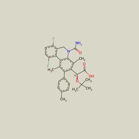 Cc1ccc(-c2c(C)c3c(c(C)c2[C@H](OC(C)(C)C)C(=O)O)N(C(N)=O)Cc2c(F)ccc(F)c2-3)cc1